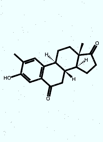 Cc1cc2c(cc1O)C(=O)C[C@@H]1[C@@H]2CC[C@]2(C)C(=O)CC[C@@H]12